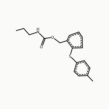 CCCNC(=O)OCc1ccccc1Sc1ccc(C)cc1